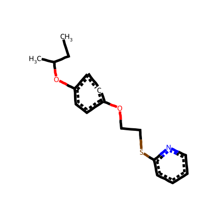 CCC(C)Oc1ccc(OCCSc2ccccn2)cc1